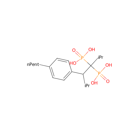 CCCCCc1ccc(C(C(C)C)C(C(C)C)(P(=O)(O)O)P(=O)(O)O)cc1